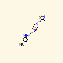 Cc1ncsc1CCN1CC2CN(CCCNc3ccc(C#N)cc3)CC(C1)O2